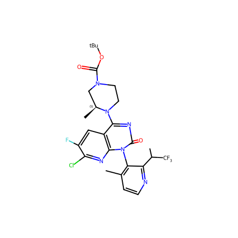 Cc1ccnc(C(C)C(F)(F)F)c1-n1c(=O)nc(N2CCN(C(=O)OC(C)(C)C)C[C@@H]2C)c2cc(F)c(Cl)nc21